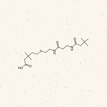 CC(C)(C)CC(=O)NCCC(=O)NCCSCCC(C)(C)CC(=O)O